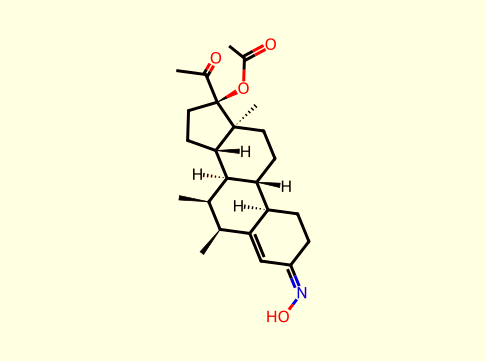 CC(=O)O[C@]1(C(C)=O)CC[C@H]2[C@@H]3[C@H](C)[C@H](C)C4=C/C(=N\O)CC[C@@H]4[C@H]3CC[C@@]21C